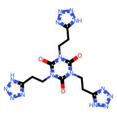 O=c1n(CCc2nnn[nH]2)c(=O)n(CCc2nnn[nH]2)c(=O)n1CCc1nnn[nH]1